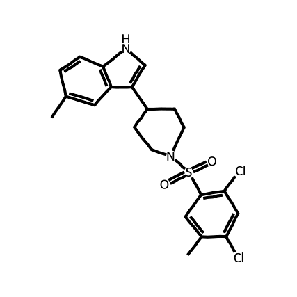 Cc1ccc2[nH]cc(C3CCN(S(=O)(=O)c4cc(C)c(Cl)cc4Cl)CC3)c2c1